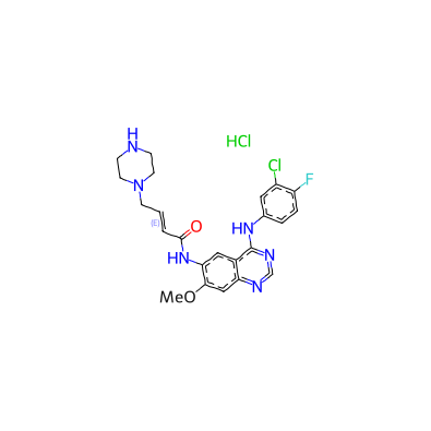 COc1cc2ncnc(Nc3ccc(F)c(Cl)c3)c2cc1NC(=O)/C=C/CN1CCNCC1.Cl